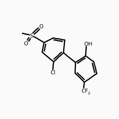 CS(=O)(=O)c1ccc(-c2cc(C(F)(F)F)ccc2O)c(Cl)c1